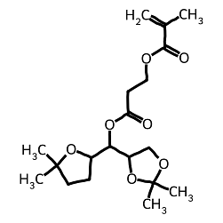 C=C(C)C(=O)OCCC(=O)OC(C1CCC(C)(C)O1)C1COC(C)(C)O1